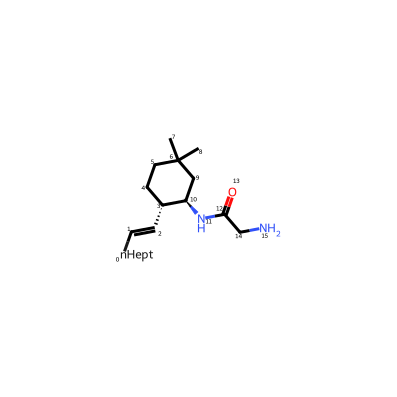 CCCCCCCC=C[C@@H]1CCC(C)(C)C[C@H]1NC(=O)CN